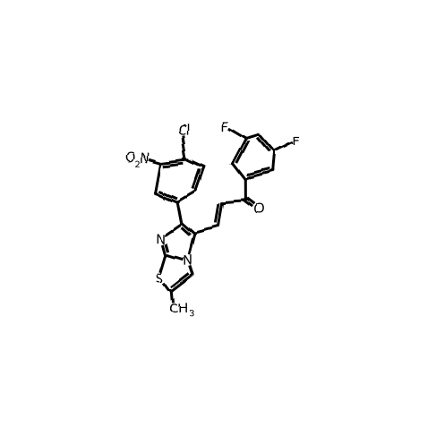 Cc1cn2c(/C=C/C(=O)c3cc(F)cc(F)c3)c(-c3ccc(Cl)c([N+](=O)[O-])c3)nc2s1